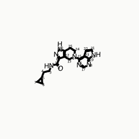 O=C(NCCC1CC1)c1n[nH]c2c1CN(c1ncnc3[nH]ccc13)CC2